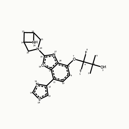 CC(C)(O)C(F)(F)Oc1ccc(-c2cscn2)c2oc(N3CC4CC(C3)N4)nc12